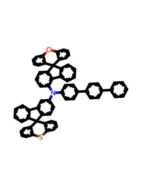 c1ccc(-c2ccc(-c3ccc(N(c4ccc5c(c4)-c4ccccc4C54c5ccccc5Sc5ccccc54)c4cccc5c4-c4ccccc4C54c5ccccc5Oc5ccccc54)cc3)cc2)cc1